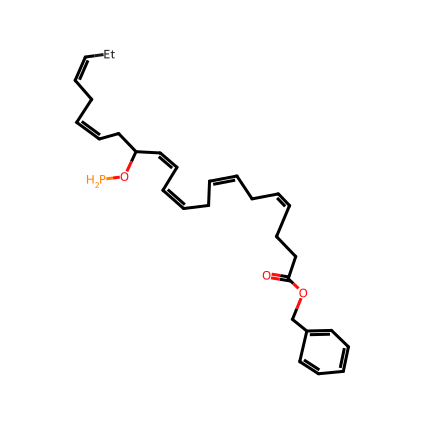 CC/C=C\C/C=C\CC(/C=C\C=C/C/C=C\C/C=C\CCC(=O)OCc1ccccc1)OP